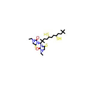 CCN1CC(=S)N(C(N2C(=O)N(CC)CC2=S)C(C)(C)CCC(S)CCC(S)CCC(C)(C)C)C1=O